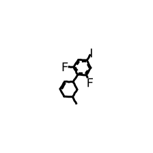 CC1CC=CC(c2c(F)cc(I)cc2F)C1